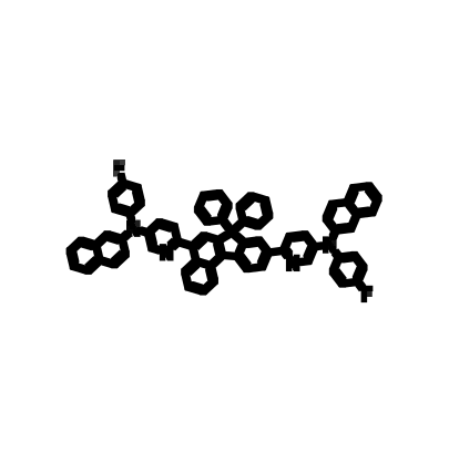 Fc1ccc(N(c2ccc(-c3ccc4c(c3)C(c3ccccc3)(c3ccccc3)c3cc(-c5ccc(N(c6ccc(F)cc6)c6ccc7ccccc7c6)cn5)c5ccccc5c3-4)nc2)c2ccc3ccccc3c2)cc1